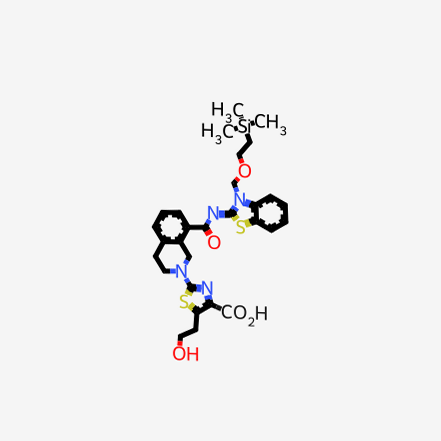 C[Si](C)(C)CCOCn1c(=NC(=O)c2cccc3c2CN(c2nc(C(=O)O)c(CCO)s2)CC3)sc2ccccc21